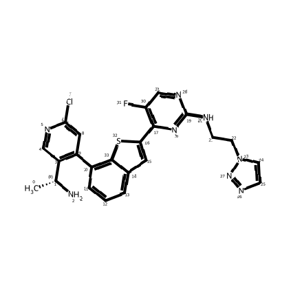 C[C@@H](N)c1cnc(Cl)cc1-c1cccc2cc(-c3nc(NCCn4ccnn4)ncc3F)sc12